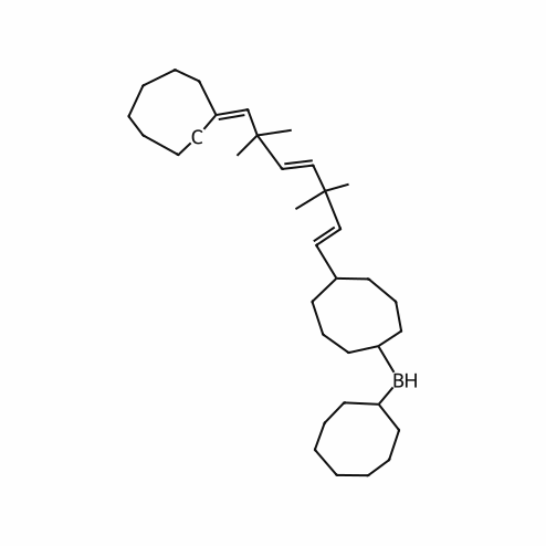 CC(C)(C=C1CCCCCCC1)/C=C/C(C)(C)/C=C/C1CCCC(BC2CCCCCCC2)CCC1